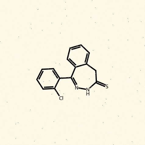 S=C1Cc2ccccc2C(c2ccccc2Cl)=NN1